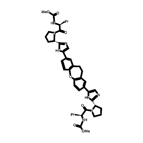 COC(=O)N[C@H](C(=O)N1CCC[C@H]1c1ncc(-c2ccc3c(c2)CCc2cc(-c4cnc([C@@H]5CCCN5C(=O)[C@@H](NC(=O)OC)C(C)C)[nH]4)ccc2O3)[nH]1)C(C)C